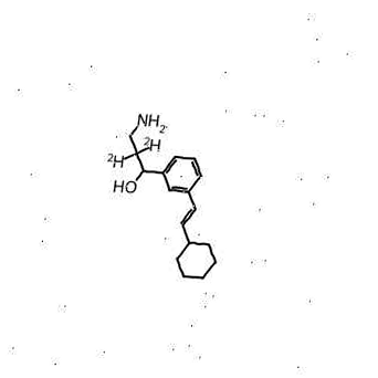 [2H]C([2H])(CN)C(O)c1cccc(C=CC2CCCCC2)c1